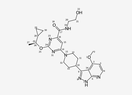 COc1ccnc2[nH]nc(C3CCN(c4cc(C(=O)NCCO)nc(O[C@@H](C)C5CC5)n4)CC3)c12